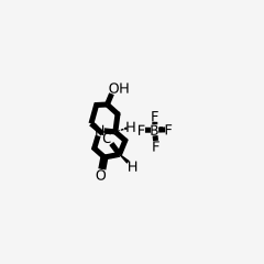 F[B-](F)(F)F.O=C1CN2C3CC(O)C[C@H]2C[C@H]1C3